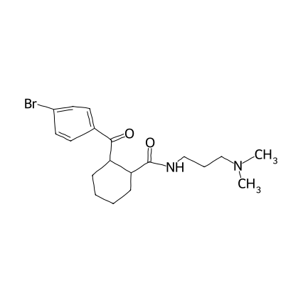 CN(C)CCCNC(=O)C1CCCCC1C(=O)c1ccc(Br)cc1